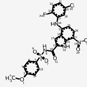 COc1ccc(S(=O)(=O)NC(=O)c2cc3c(Nc4cc(Cl)ccc4F)ccc([N+](=O)[O-])c3[nH]2)cc1